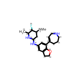 CNC1CC(Nc2cc3c(c(C4=CCNCCC4)c2)OCC3)NC(C)C1F